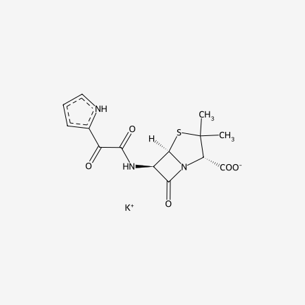 CC1(C)S[C@@H]2[C@H](NC(=O)C(=O)c3ccc[nH]3)C(=O)N2[C@H]1C(=O)[O-].[K+]